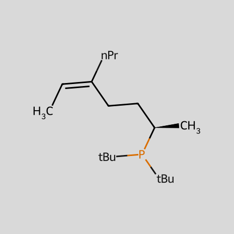 C/C=C(/CCC)CC[C@@H](C)P(C(C)(C)C)C(C)(C)C